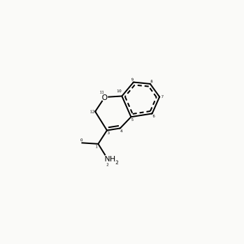 CC(N)C1=Cc2ccccc2OC1